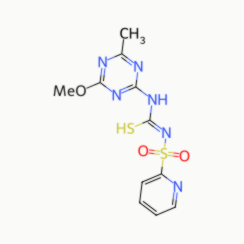 COc1nc(C)nc(N/C(S)=N/S(=O)(=O)c2ccccn2)n1